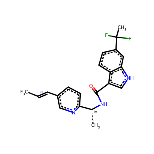 C[C@@H](NC(=O)c1c[nH]c2cc(C(C)(F)F)ccc12)c1ccc(/C=C/C(F)(F)F)cn1